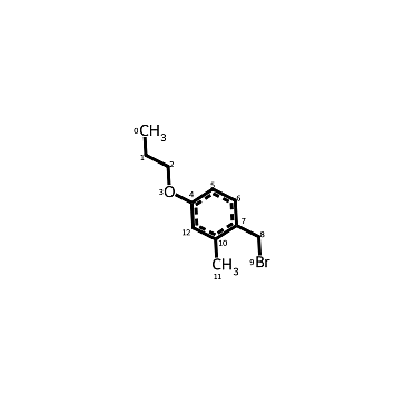 CCCOc1ccc(CBr)c(C)c1